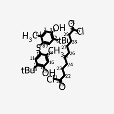 Cc1cc(O)c(C(C)(C)C)cc1Sc1cc(C(C)(C)C)c(O)cc1C.O=C(Cl)CCCCCCCCC(=O)Cl